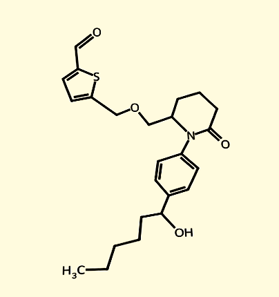 CCCCCC(O)c1ccc(N2C(=O)CCCC2COCc2ccc(C=O)s2)cc1